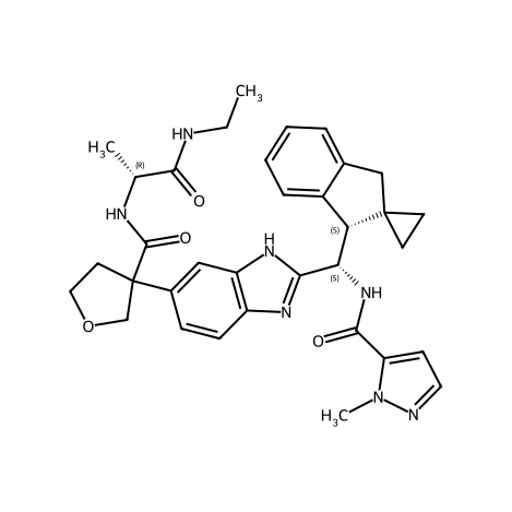 CCNC(=O)[C@@H](C)NC(=O)C1(c2ccc3nc([C@@H](NC(=O)c4ccnn4C)[C@@H]4c5ccccc5CC45CC5)[nH]c3c2)CCOC1